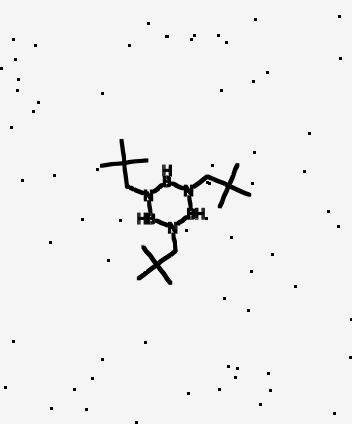 CC(C)(C)CN1BN(CC(C)(C)C)BN(CC(C)(C)C)B1